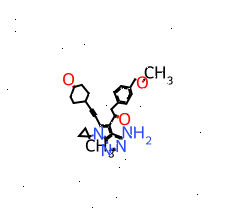 COCc1ccc(CC(=O)c2c(C#CC3CCC(=O)CC3)n(C3(C)CC3)c3ncnc(N)c23)cc1